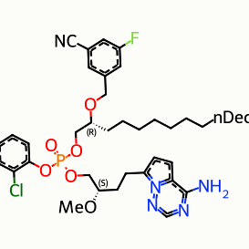 CCCCCCCCCCCCCCCCC[C@H](COP(=O)(OC[C@H](CCc1ccc2c(N)ncnn12)OC)Oc1ccccc1Cl)OCc1cc(F)cc(C#N)c1